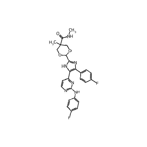 CNC(=O)C1(C)COC(c2nc(-c3ccc(F)cc3)c(-c3ccnc(Nc4ccc(F)cc4)n3)[nH]2)OC1